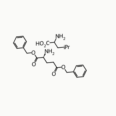 CC(C)CC(N)C(=O)O.N[C@@H](CCC(=O)OCc1ccccc1)C(=O)OCc1ccccc1